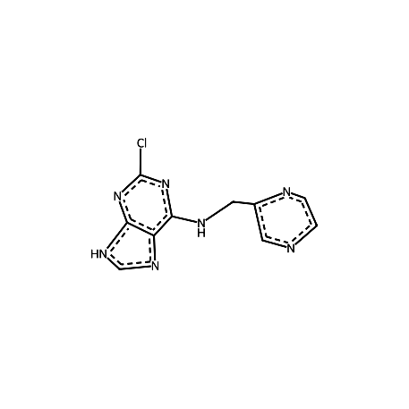 Clc1nc(NCc2cnccn2)c2nc[nH]c2n1